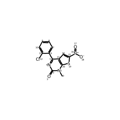 Cn1c(=O)nc(-c2ccccc2Cl)c2cc([N+](=O)[O-])sc21